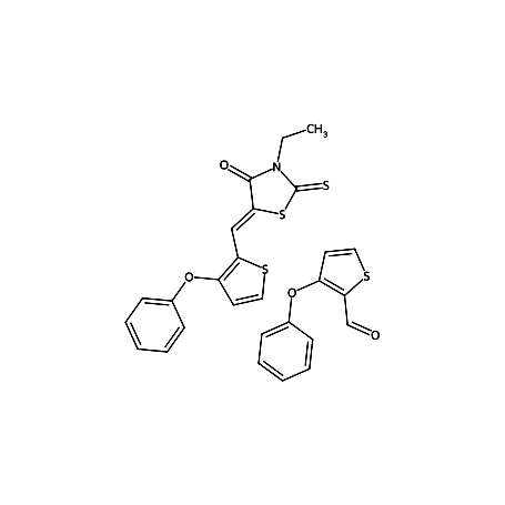 CCN1C(=O)C(=Cc2sccc2Oc2ccccc2)SC1=S.O=Cc1sccc1Oc1ccccc1